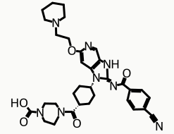 N#Cc1ccc(C(=O)/N=c2\[nH]c3cnc(OCCN4CCCCC4)cc3n2[C@H]2CC[C@@H](C(=O)N3CCN(C(=O)O)CC3)CC2)cc1